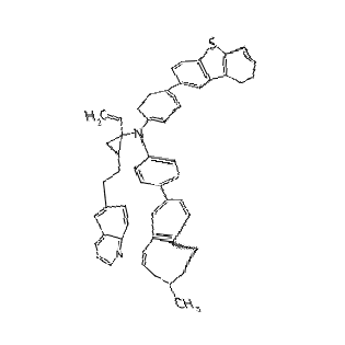 C=CC1(N(C2=CC=C(c3ccc4sc5c(c4c3)CCC=C5)CC2)c2ccc(-c3ccc4c(c3)/C=C\CC(C)CC4)cc2)CC1CCc1ccc2ncccc2c1